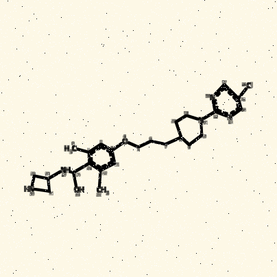 Cc1cc(OCCCC2CCN(c3ncc(Cl)cn3)CC2)cc(C)c1C(O)NC1CNC1